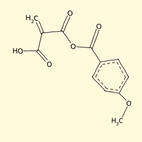 C=C(C(=O)O)C(=O)OC(=O)c1ccc(OC)cc1